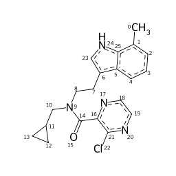 Cc1cccc2c(CCN(CC3CC3)C(=O)c3nccnc3Cl)c[nH]c12